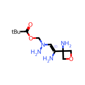 CC(C)(C)C(=O)OCN(N)/C=C(\N)C1(N)COC1